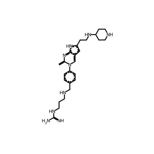 C=C1N=c2[nH]c(CCNC3CCNCC3)cc2=CN1c1ccc(CNCCCNC(=N)N)cc1